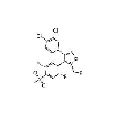 CS(=O)(=O)c1cc(F)c(-c2c(-c3ccc(Cl)c(Cl)c3)noc2CF)cc1F